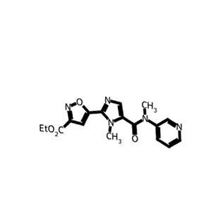 CCOC(=O)c1cc(-c2ncc(C(=O)N(C)c3cccnc3)n2C)on1